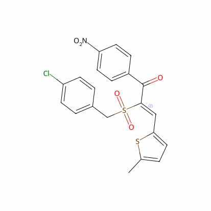 Cc1ccc(/C=C(/C(=O)c2ccc([N+](=O)[O-])cc2)S(=O)(=O)Cc2ccc(Cl)cc2)s1